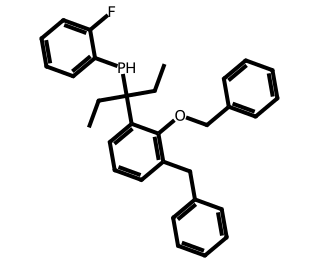 CCC(CC)(Pc1ccccc1F)c1cccc(Cc2ccccc2)c1OCc1ccccc1